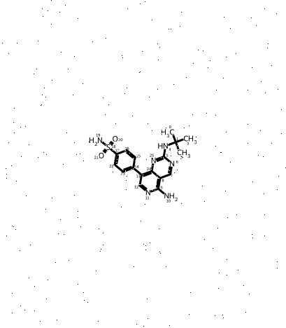 CC(C)(C)Nc1ncc2c(N)ncc(-c3ccc(S(N)(=O)=O)cc3)c2n1